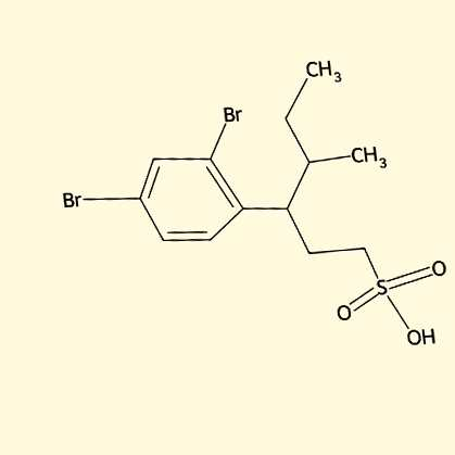 CCC(C)C(CCS(=O)(=O)O)c1ccc(Br)cc1Br